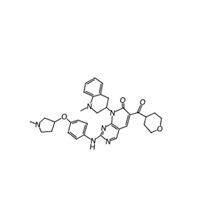 CN1CCC(Oc2ccc(Nc3ncc4cc(C(=O)C5CCOCC5)c(=O)n(C5Cc6ccccc6N(C)C5)c4n3)cc2)C1